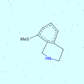 CSc1cccc2c1CNCC2